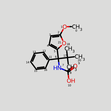 COc1ccc(C(NC(=O)O)(c2ccccc2)C(C)(C)C)o1